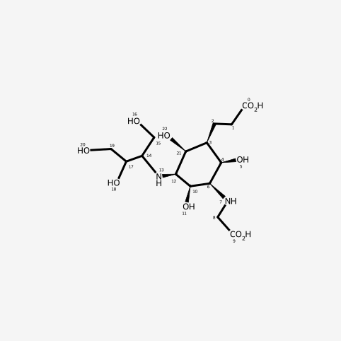 O=C(O)CC[C@H]1[C@@H](O)[C@@H](NCC(=O)O)[C@@H](O)[C@@H](NC(CO)C(O)CO)[C@H]1O